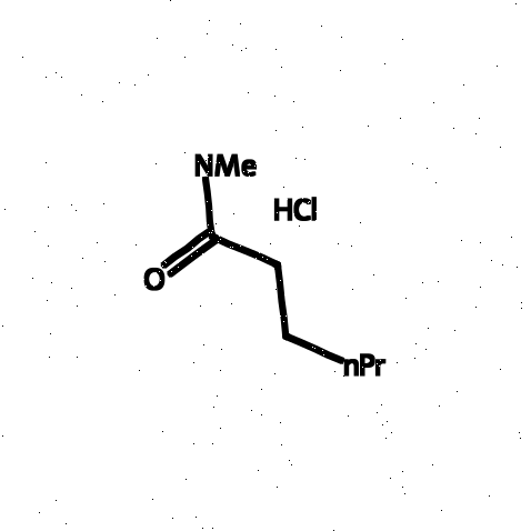 CCCCCC(=O)NC.Cl